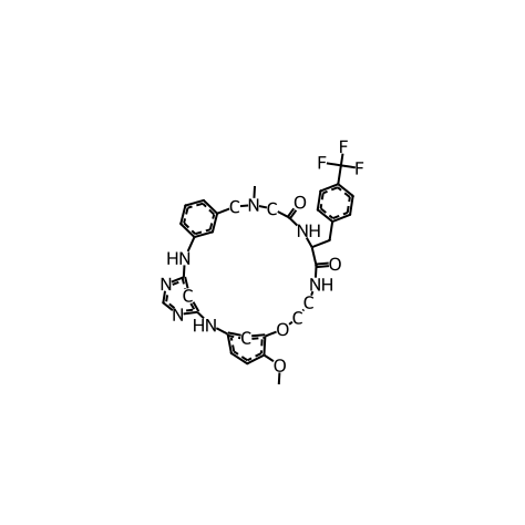 COc1ccc2cc1OCCNC(=O)C(Cc1ccc(C(F)(F)F)cc1)NC(=O)CN(C)Cc1cccc(c1)Nc1cc(ncn1)N2